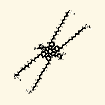 CCCCCCCCCCCCCCCCc1ccc(C2(c3ccc(CCCCCCCCCCCCCCCC)cc3)C3=Cc4c5c(sc4=C3C(c3ccc(CCCCCCCCCCCCCCCC)cc3)(c3ccc(CCCCCCCCCCCCCCCC)cc3)C3C=c4c(sc6c(Br)csc46)=C32)=C(Br)CS5)cc1